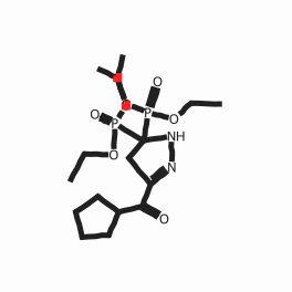 CCOP(=O)(OCC)C1(P(=O)(OCC)OCC)CC(C(=O)C2CCCC2)=NN1